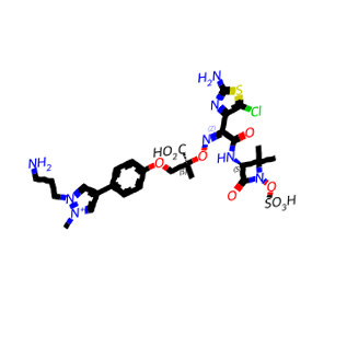 C[n+]1cc(-c2ccc(OC[C@](C)(O/N=C(\C(=O)N[C@@H]3C(=O)N(OS(=O)(=O)O)C3(C)C)c3nc(N)sc3Cl)C(=O)O)cc2)cn1CCCN